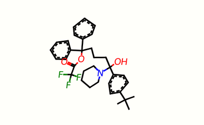 CC(C)(C)c1ccc(C(O)(CCCC(OC(=O)C(F)(F)F)(c2ccccc2)c2ccccc2)N2CCCCC2)cc1